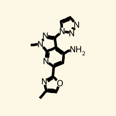 Cc1coc(-c2cc(N)c3c(-n4ccnn4)nn(C)c3n2)n1